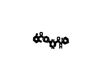 Cc1cccc(C)c1C(=O)N1CCN(c2cncc(C(=O)Nc3ccccn3)n2)CC1